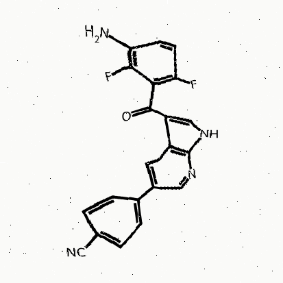 N#Cc1ccc(-c2cnc3[nH]cc(C(=O)c4c(F)ccc(N)c4F)c3c2)cc1